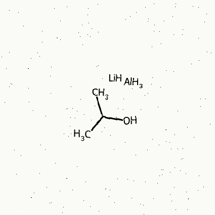 CC(C)O.[AlH3].[LiH]